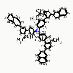 CC(C)c1ccc(-c2ccc3ccccc3c2)cc1-c1ccc(N(c2ccc(-c3cc(-c4ccc5ccccc5c4)ccc3C(C)C)cc2)c2ccc(-c3cc(-c4ccc5ccccc5c4)ccc3C(C)C)cc2)cc1